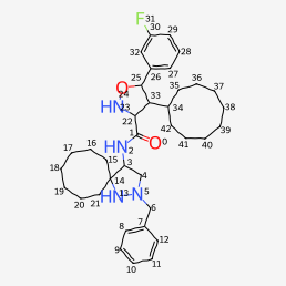 O=C(NC1CN(Cc2ccccc2)NC12CCCCCCC2)C1NOC(c2cccc(F)c2)C1C1CCCCCCCC1